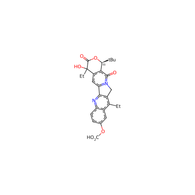 CCc1c2c(nc3ccc(OC(=O)O)cc13)-c1cc3c(c(=O)n1C2)[C@H](C(C)(C)C)OC(=O)C3(O)CC